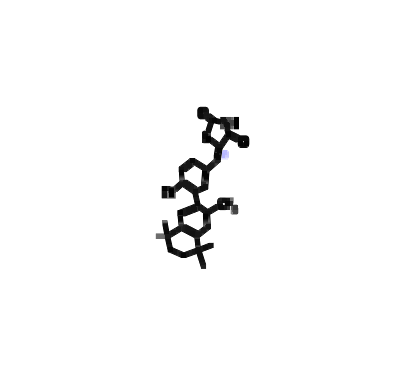 CCc1ccc(/C=C2\SC(=O)NC2=O)cc1-c1cc2c(cc1C(F)(F)F)C(C)(C)CCC2(C)C